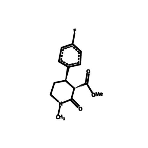 COC(=O)[C@@H]1C(=O)N(C)CC[C@H]1c1ccc(F)cc1